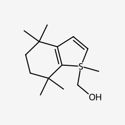 CC1(C)CCC(C)(C)C2=C1C=CS2(C)CO